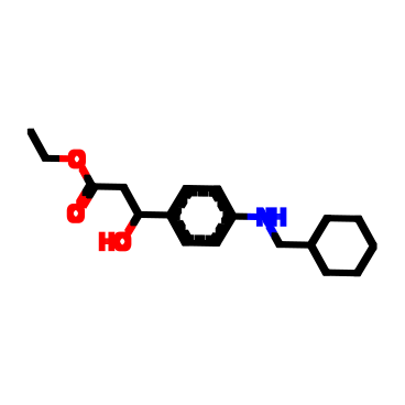 CCOC(=O)CC(O)c1ccc(NCC2CCCCC2)cc1